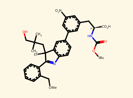 CCC1(CC(C)(C)CO)C(c2ccccc2COC)=Nc2ccc(-c3cc(C[C@H](NC(=O)OC(C)(C)C)C(=O)O)cc([N+](=O)[O-])c3)cc21